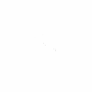 Cc1ccc(Cl)c(NC2=NC(C)CC2)c1.Cl